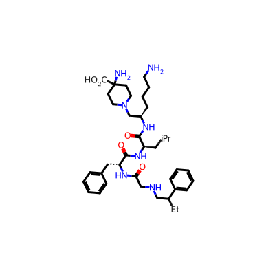 CCC(CNCC(=O)N[C@H](Cc1ccccc1)C(=O)N[C@H](CC(C)C)C(=O)N[C@H](CCCCN)CN1CCC(N)(C(=O)O)CC1)c1ccccc1